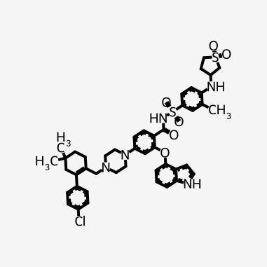 Cc1cc(S(=O)(=O)NC(=O)c2ccc(N3CCN(CC4=C(c5ccc(Cl)cc5)CC(C)(C)CC4)CC3)cc2Oc2cccc3[nH]ccc23)ccc1NC1CCS(=O)(=O)C1